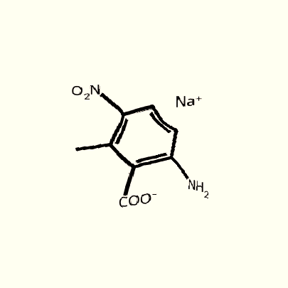 Cc1c([N+](=O)[O-])ccc(N)c1C(=O)[O-].[Na+]